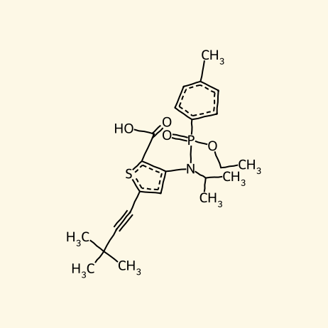 CCOP(=O)(c1ccc(C)cc1)N(c1cc(C#CC(C)(C)C)sc1C(=O)O)C(C)C